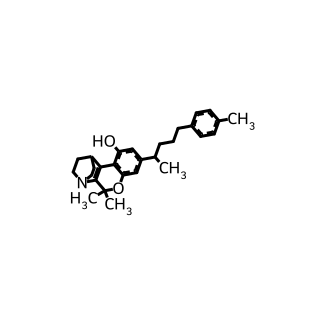 Cc1ccc(CCCC(C)c2cc(O)c3c(c2)OC(C)(C)C2=C3C3CCN2CC3)cc1